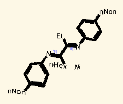 CCCCCCCCCc1ccc(/N=C(CC)/C(CCCCCC)=N/c2ccc(CCCCCCCCC)cc2)cc1.[Ni]